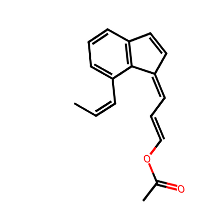 C/C=C\c1cccc2c1/C(=C\C=C\OC(C)=O)C=C2